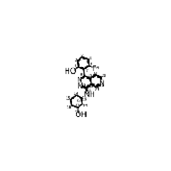 Oc1cccc(F)c1-c1nnc(N[C@H]2CCC[C@@H](O)C2)c2cnccc12